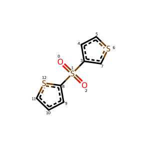 O=S(=O)(c1ccsc1)c1cccs1